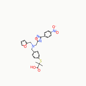 CC(C)(Sc1ccc(CN(Cc2ccco2)Cc2nc(-c3ccc([N+](=O)[O-])cc3)no2)cc1)C(=O)O